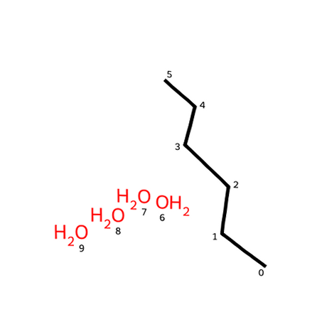 CCCCCC.O.O.O.O